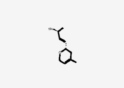 CC1=CCO[C@H](/C=C/[C@H](C)C(C)(C)C)C1